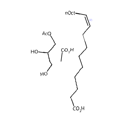 CC(=O)O.CC(=O)OCC(O)CO.CCCCCCCC/C=C\CCCCCCCC(=O)O